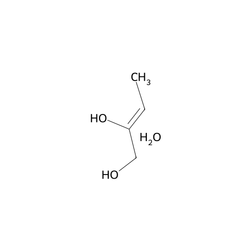 CC=C(O)CO.O